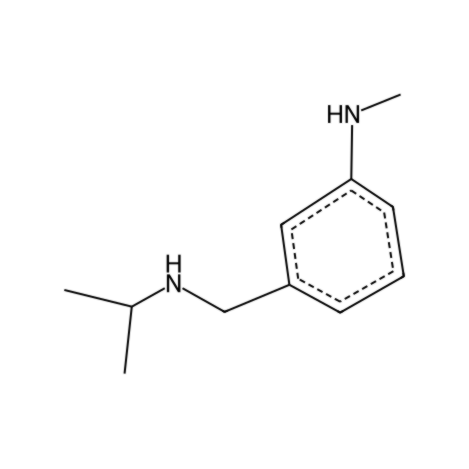 CNc1cccc(CNC(C)C)c1